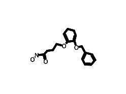 O=NC(=O)CCCOC1=CCCC=C1OCc1ccccc1